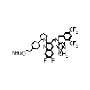 CCCCOCCC1CCC([C@H]2CCCN2c2nc3cc(F)c(F)cc3cc2CN(Cc2cc(C(F)(F)F)cc(C(F)(F)F)c2)c2nnn(C)n2)CC1